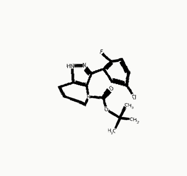 CC(C)(C)OC(=O)N1CCCc2[nH]nc(-c3cc(Cl)ccc3F)c21